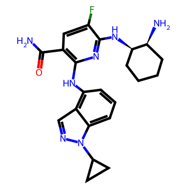 NC(=O)c1cc(F)c(N[C@@H]2CCCC[C@@H]2N)nc1Nc1cccc2c1cnn2C1CC1